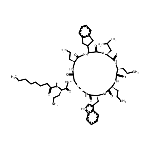 CCCCCCCC(=O)N[C@H](CCN)C(=O)N[C@H]1CCNC(=O)[C@H](Cc2c[nH]c3ccccc23)NC(=O)[C@H](CCN)NC(=O)[C@H](CCN)NC(=O)[C@H](CC(C)C)NC(=O)C(C2Cc3ccccc3C2)NC(=O)[C@H](CCN)NC1=O